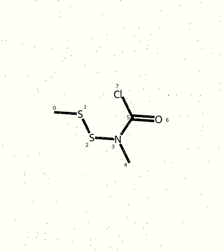 CSSN(C)C(=O)Cl